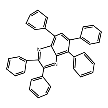 c1ccc(-c2cc(-c3ccccc3)c3nc(-c4ccccc4)c(-c4ccccc4)nc3c2-c2ccccc2)cc1